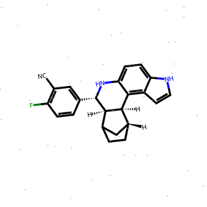 N#Cc1cc([C@@H]2Nc3ccc4[nH]ccc4c3[C@H]3[C@@H]4CCC(C4)[C@H]32)ccc1F